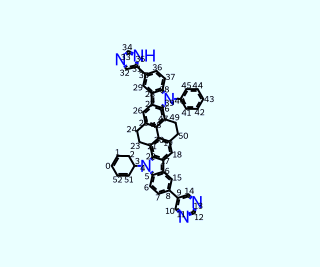 C1=CCC(n2c3ccc(-c4cncnc4)cc3c3cc4c5c(c32)CCc2cc3c6cc(-c7cnc[nH]7)ccc6n(-c6ccccc6)c3c(c2-5)CC4)C=C1